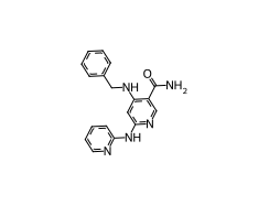 NC(=O)c1cnc(Nc2ccccn2)cc1NCc1ccccc1